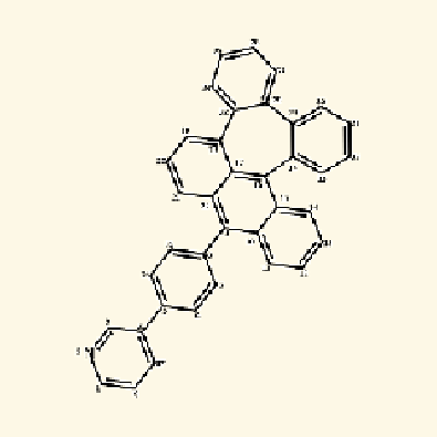 c1cncc(-c2ccc(-c3c4ccccc4c4c5c(cccc35)-c3ccccc3-c3ccccc3-4)cc2)c1